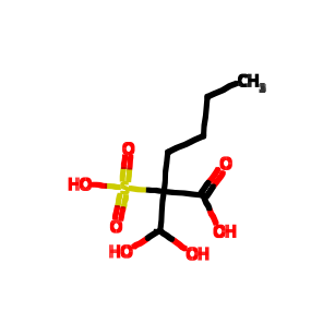 CCCCC([C](O)O)(C(=O)O)S(=O)(=O)O